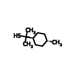 CC(C)(S)[C@H]1CC[C@H](C)CC1